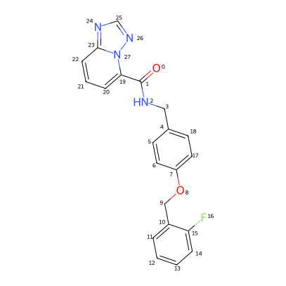 O=C(NCc1ccc(OCc2ccccc2F)cc1)c1cccc2ncnn12